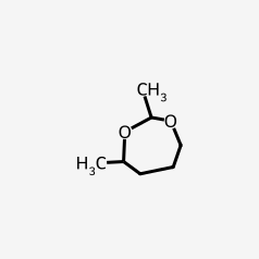 CC1CCCOC(C)O1